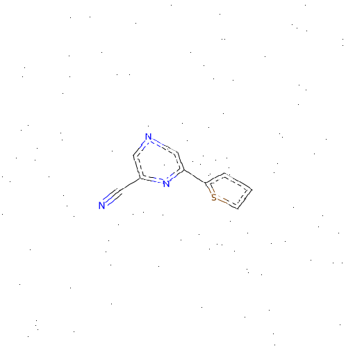 N#Cc1cncc(-c2cccs2)n1